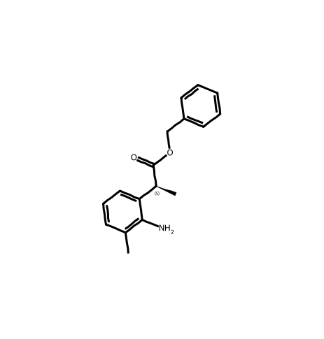 Cc1cccc([C@H](C)C(=O)OCc2ccccc2)c1N